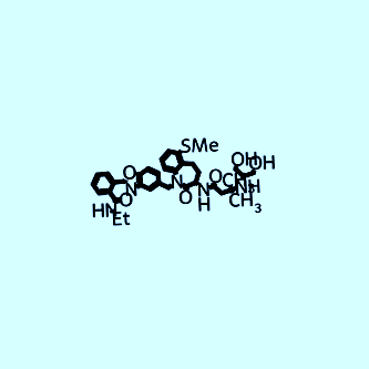 CCNC(=O)c1ccccc1-c1nc2cc(CN3C(=O)C(NC(=O)CC(C)(C)NC(CO)CO)CCc4c(SC)cccc43)ccc2o1